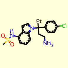 CCC(CCN)(c1ccc(Cl)cc1)n1ccc2c(NS(C)(=O)=O)cccc21